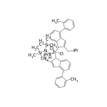 Cc1ccccc1-c1cccc2c1C=C(CC(C)C)[CH]2[Zr]([Cl])([Cl])([BH]N([Si](C)(C)C)[Si](C)(C)C)[CH]1C(CC(C)C)=Cc2c(-c3ccccc3C)cccc21